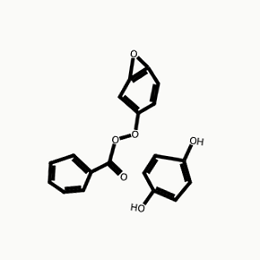 O=C(OOc1ccc2c(c1)O2)c1ccccc1.Oc1ccc(O)cc1